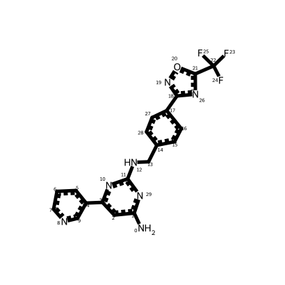 Nc1cc(-c2cccnc2)nc(NCc2ccc(-c3noc(C(F)(F)F)n3)cc2)n1